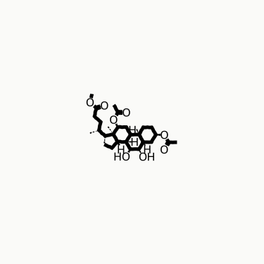 COC(=O)CC[C@@H](C)[C@H]1CC[C@H]2[C@@H]3[C@H](O)[C@@H](O)[C@@H]4C[C@H](OC(C)=O)CC[C@]4(C)[C@H]3C[C@H](OC(C)=O)[C@]12C